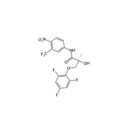 C[C@](O)(COc1c(F)cc(F)cc1F)C(=O)Nc1ccc([N+](=O)[O-])c(C(F)(F)F)c1